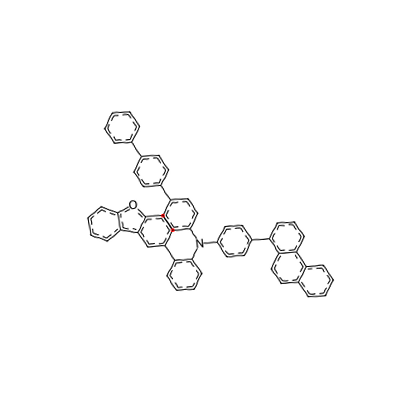 c1ccc(-c2ccc(-c3ccc(N(c4ccc(-c5cccc6c5ccc5ccccc56)cc4)c4ccccc4-c4ccc5oc6ccccc6c5c4)cc3)cc2)cc1